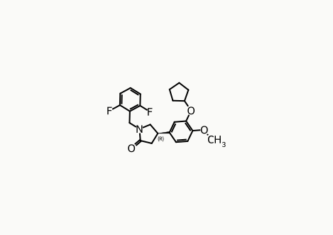 COc1ccc([C@H]2CC(=O)N(Cc3c(F)cccc3F)C2)cc1OC1CCCC1